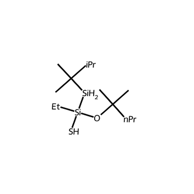 CCCC(C)(C)O[Si](S)(CC)[SiH2]C(C)(C)C(C)C